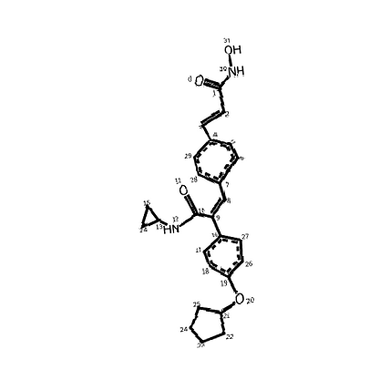 O=C(/C=C/c1ccc(C=C(C(=O)NC2CC2)c2ccc(OC3CCCC3)cc2)cc1)NO